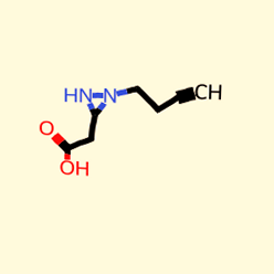 C#CCCN1NC1CC(=O)O